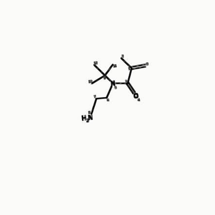 C=C(C)C(=O)N(CCN)C(C)(C)C